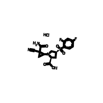 Cl.N#CC1(C(N)=O)CC1N1C[C@H](S(=O)(=O)c2ccc(F)cc2F)C[C@H]1C(=O)O